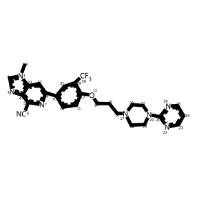 Cn1cnc2c(C#N)nc(-c3ccc(OCCCN4CCN(c5ncccn5)CC4)c(C(F)(F)F)c3)cc21